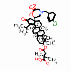 CC(C)C1=C2[C@H]3CC[C@@H]4[C@@]5(C)CC[C@H](OC(=O)CC(C)(C)C(=O)O)C(C)(C)[C@@H]5CC[C@@]4(C)[C@]3(C)CC[C@@]2(C2CN(Cc3ccc(Cl)cc3)CC(=O)O2)CC1=O